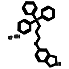 Cl.[Cl-].c1ccc([P+](CCCOc2ccc3c(c2)CNC3)(c2ccccc2)c2ccccc2)cc1